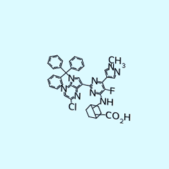 Cn1cc(-c2nc(-c3cn(C(c4ccccc4)(c4ccccc4)c4ccccc4)c4ncc(Cl)nc34)nc(NC3C4CCC(CC4)C3C(=O)O)c2F)cn1